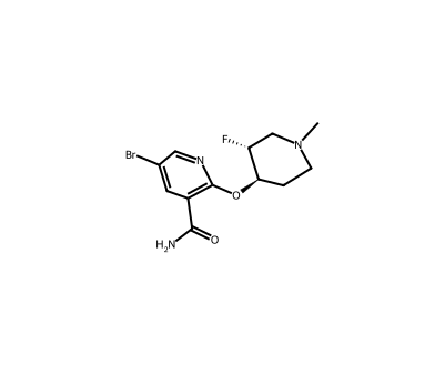 CN1CC[C@@H](Oc2ncc(Br)cc2C(N)=O)[C@H](F)C1